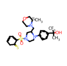 C[C@H]1COCCN1CC1CN(S(=O)(=O)C2=CC=CCC2=S)CCN1c1ccc(C(C)(O)C(F)(F)F)cc1